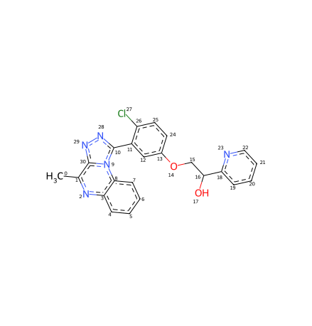 Cc1nc2ccccc2n2c(-c3cc(OCC(O)c4ccccn4)ccc3Cl)nnc12